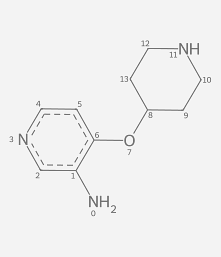 Nc1cnccc1OC1CCNCC1